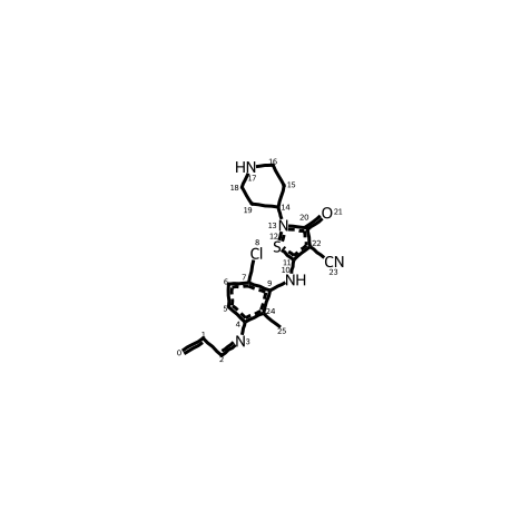 C=C/C=N\c1ccc(Cl)c(Nc2sn(C3CCNCC3)c(=O)c2C#N)c1C